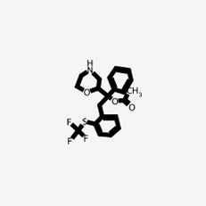 CC(=O)OC(Cc1ccccc1SC(F)(F)F)(c1ccccc1)C1CNCCO1